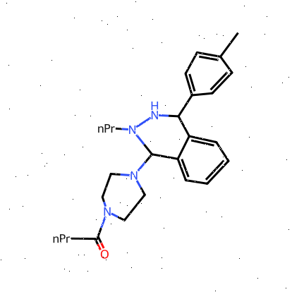 CCCC(=O)N1CCN(C2c3ccccc3C(c3ccc(C)cc3)NN2CCC)CC1